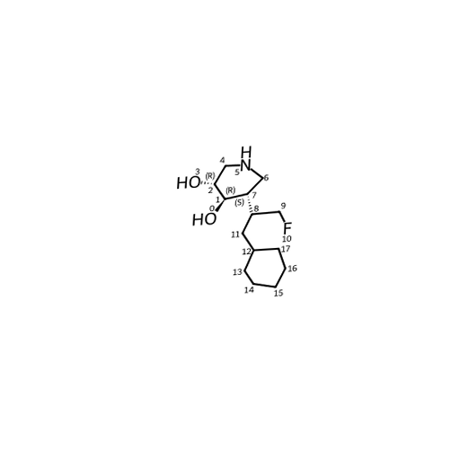 O[C@H]1[C@H](O)CNC[C@@H]1C(CF)CC1CCCCC1